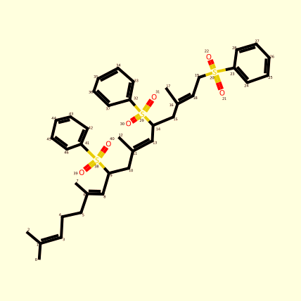 CC(C)=CCC/C(C)=C/C(C/C(C)=C/C(C/C(C)=C/CS(=O)(=O)c1ccccc1)S(=O)(=O)c1ccccc1)S(=O)(=O)c1ccccc1